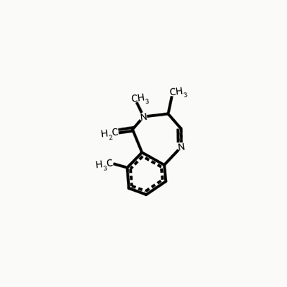 C=C1c2c(C)cccc2N=CC(C)N1C